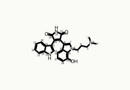 CN(C)CCCn1cc(C2=C(c3c[nH]c4ccccc34)C(=O)NC2=O)c2cccc(O)c21